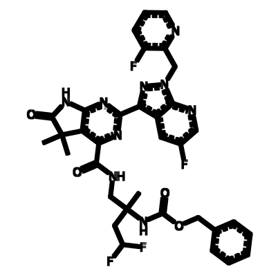 CC(CNC(=O)c1nc(-c2nn(Cc3ncccc3F)c3ncc(F)cc23)nc2c1C(C)(C)C(=O)N2)(CC(F)F)NC(=O)OCc1ccccc1